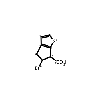 CCC1Cc2ccsc2C1C(=O)O